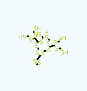 SCSC(SCS)C(SCS)SCSC(SCSC(SCS)C(SCS)SCS)C1SCS1